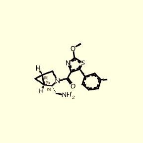 COc1nc(C(=O)N2C[C@H]3C[C@H]3[C@H]2CN)c(-c2cccc(C)c2)s1